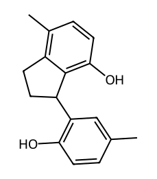 Cc1ccc(O)c(C2CCc3c(C)ccc(O)c32)c1